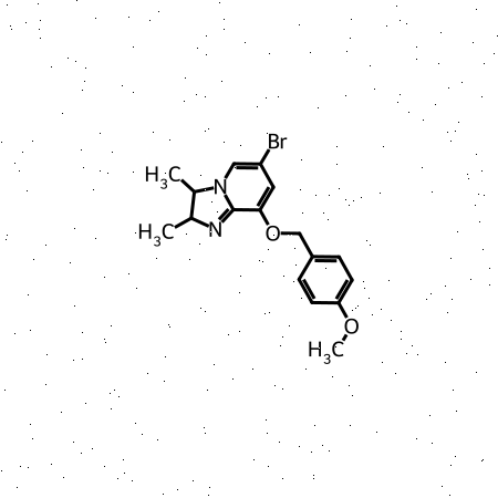 COc1ccc(COC2=CC(Br)=CN3C2=NC(C)C3C)cc1